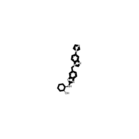 O[C@@H]1CCCC[C@H]1Nc1nc2ccc(Cn3cnc4cc(-n5ccnc5)ccc43)cc2s1